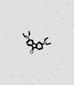 CCN(CC)c1ccc2c(c1)-c1cc(N(CC)CC)ccc1C2=O